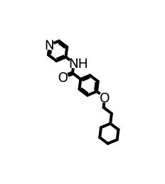 O=C(Nc1ccncc1)c1ccc(OCCC2CCCCC2)cc1